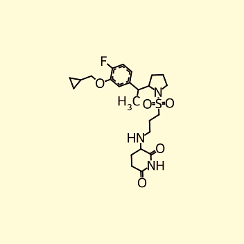 CC(c1ccc(F)c(OCC2CC2)c1)C1CCCN1S(=O)(=O)CCCNC1CCC(=O)NC1=O